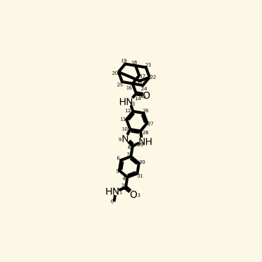 CNC(=O)c1ccc(-c2nc3cc(NC(=O)C45CC6CC(CC(C6)C4)C5)ccc3[nH]2)cc1